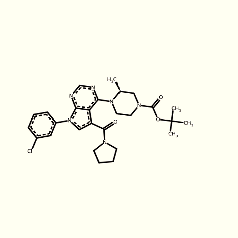 C[C@H]1CN(C(=O)OC(C)(C)C)CCN1c1ncnc2c1c(C(=O)N1CCCC1)cn2-c1cccc(Cl)c1